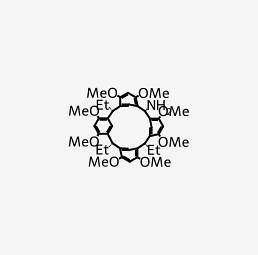 CC[C@@H]1c2cc(c(OC)cc2OC)[C@H](CC)c2cc(c(OC)cc2OC)[C@H](N)c2cc(c(OC)cc2OC)[C@H](CC)c2cc1c(OC)cc2OC